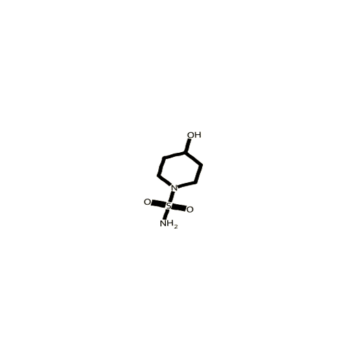 NS(=O)(=O)N1CCC(O)CC1